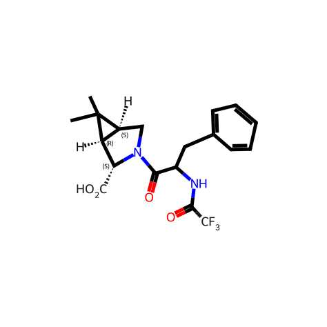 CC1(C)[C@@H]2[C@@H](C(=O)O)N(C(=O)C(Cc3ccccc3)NC(=O)C(F)(F)F)C[C@@H]21